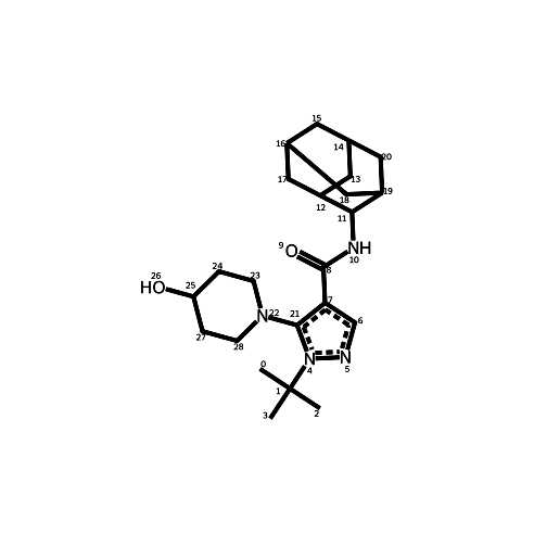 CC(C)(C)n1ncc(C(=O)NC2C3CC4CC(C3)CC2C4)c1N1CCC(O)CC1